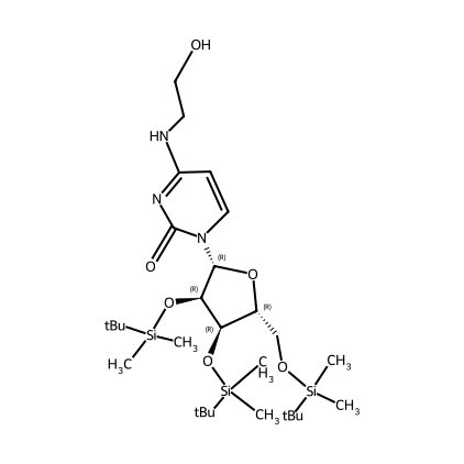 CC(C)(C)[Si](C)(C)OC[C@H]1O[C@@H](n2ccc(NCCO)nc2=O)[C@H](O[Si](C)(C)C(C)(C)C)[C@@H]1O[Si](C)(C)C(C)(C)C